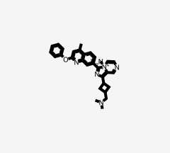 Cc1cc(Oc2ccccc2)nc2cc(C3=NC(C4CC(CN(C)C)C4)=C4C=NC=C[N+]34N)ccc12